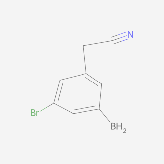 Bc1cc(Br)cc(CC#N)c1